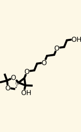 CC1(C)OC[C@]2(O1)C(OCCOCCOCCO)C2(C)O